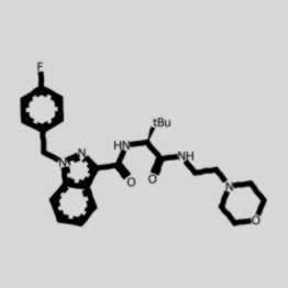 CC(C)(C)[C@H](NC(=O)c1nn(Cc2ccc(F)cc2)c2ccccc12)C(=O)NCCN1CCOCC1